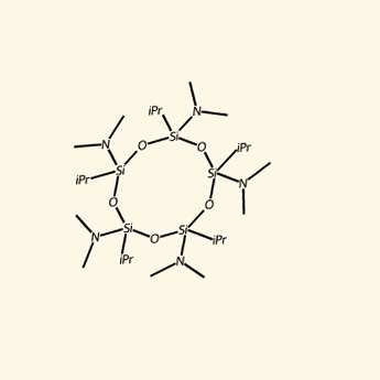 CC(C)[Si]1(N(C)C)O[Si](C(C)C)(N(C)C)O[Si](C(C)C)(N(C)C)O[Si](C(C)C)(N(C)C)O[Si](C(C)C)(N(C)C)O1